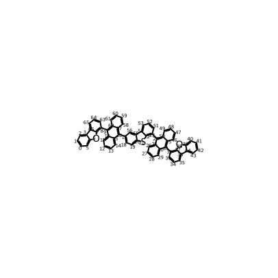 c1ccc2c(c1)oc1c(-c3c4ccccc4c(-c4ccc5sc6c(-c7c8ccccc8c(-c8cccc9c8oc8ccccc89)c8ccccc78)cccc6c5c4)c4ccccc34)cccc12